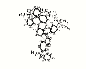 CC(C)(C)c1ccc(C(c2cccc(N(c3ccc(C(C)(C)C)cc3)c3csc4c5c(ccc34)C(C)(C)c3ccccc3-5)c2Cl)c2cccc3c2-c2ccccc2C3(C)C)cc1